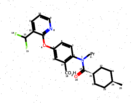 CC(C)N(c1ccc(Oc2ncccc2C(F)F)cc1C(=O)O)C(=O)[C@H]1CC[C@H](C)CC1